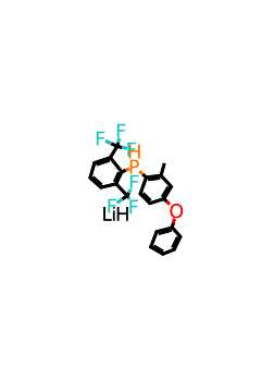 Cc1cc(Oc2ccccc2)ccc1Pc1c(C(F)(F)F)cccc1C(F)(F)F.[LiH]